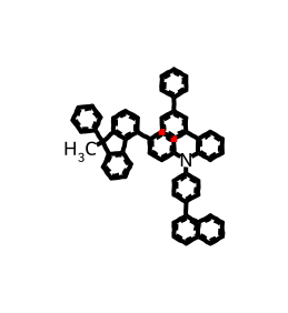 CC1(c2ccccc2)c2ccccc2-c2c(-c3ccc(N(c4ccc(-c5cccc6ccccc56)cc4)c4ccccc4-c4cccc(-c5ccccc5)c4)cc3)cccc21